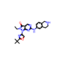 CCn1c(=O)c2cnc(Nc3ccc4c(c3)CCNC4)nc2n1-c1coc(C(C)(C)C)n1